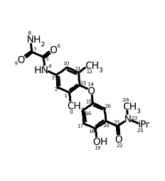 Cc1cc(NC(=O)C(N)=O)cc(C)c1Oc1ccc(O)c(C(=O)N(C)C(C)C)c1